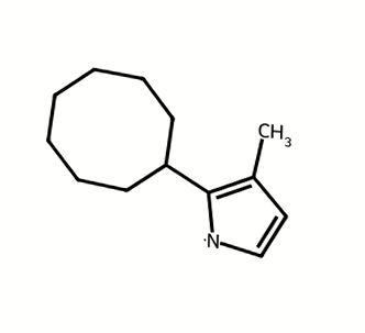 CC1=C(C2CCCCCCC2)[N]C=C1